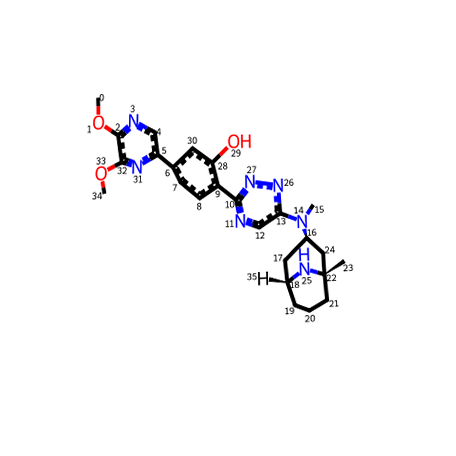 COc1ncc(-c2ccc(-c3ncc(N(C)[C@@H]4C[C@H]5CCC[C@@](C)(C4)N5)nn3)c(O)c2)nc1OC